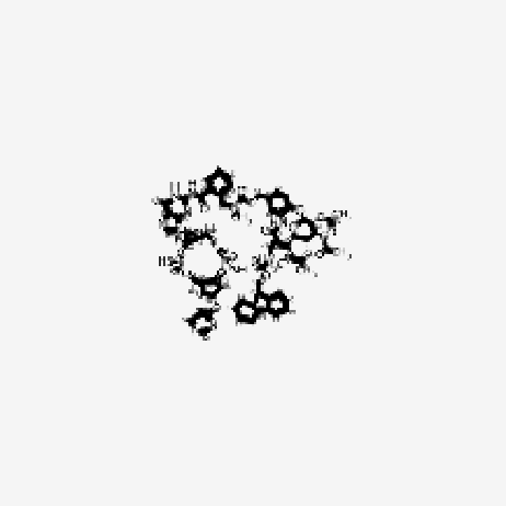 COC(=O)[C@H]1O[C@@H](Oc2ccc(COC(=O)N(C)Cc3ccccc3C(=O)Nc3nc4c(ncn4[C@@H]4O[C@@H]5CO[P@@](=O)(S)O[C@H]6C[C@H](Oc7ccncn7)C[C@@H]6CO[P@@](=O)(S)O[C@@H]4[C@@H]5O)c(=O)[nH]3)cc2NC(=O)CCNC(=O)OCC2c3ccccc3-c3ccccc32)[C@H](OC(C)=O)[C@@H](OC(C)=O)[C@@H]1OC(C)=O